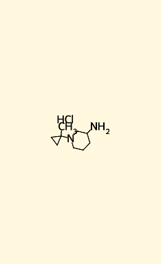 CC1(N2CCCC(N)C2)CC1.Cl